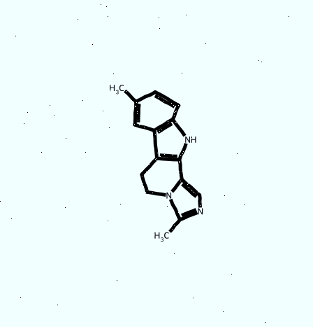 Cc1ccc2[nH]c3c(c2c1)CCn1c-3cnc1C